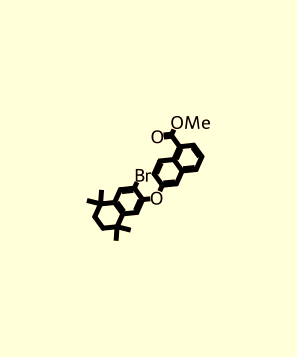 COC(=O)c1cccc2cc(Oc3cc4c(cc3Br)C(C)(C)CCC4(C)C)ccc12